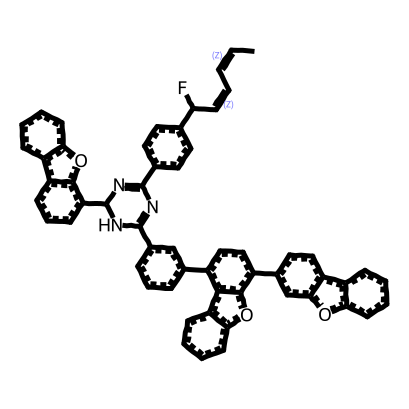 C/C=C\C=C/C(F)c1ccc(C2=NC(c3cccc4c3oc3ccccc34)NC(c3cccc(-c4ccc(-c5ccc6c(c5)oc5ccccc56)c5oc6ccccc6c45)c3)=N2)cc1